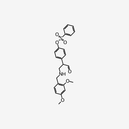 COc1ccc(CNCC(C=O)c2ccc(OS(=O)(=O)c3ccccc3)cc2)c(OC)c1